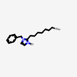 CCCCCCCCCCCCCCCCCc1n(Cc2ccccc2)cc[n+]1CC